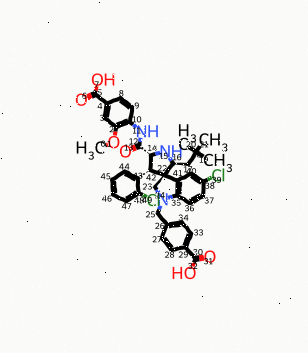 COc1cc(C(=O)O)ccc1NC(=O)[C@@H]1N[C@@H](CC(C)(C)C)[C@@]2(CN(Cc3ccc(C(=O)O)cc3)c3ccc(Cl)cc32)[C@@H]1c1ccccc1Cl